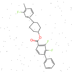 Cc1ccc(C2CCC(OC(=O)c3ccc(-c4ccccc4)c(F)c3F)CC2)cc1F